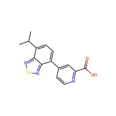 CC(C)c1ccc(-c2ccnc(C(=O)O)c2)c2nsnc12